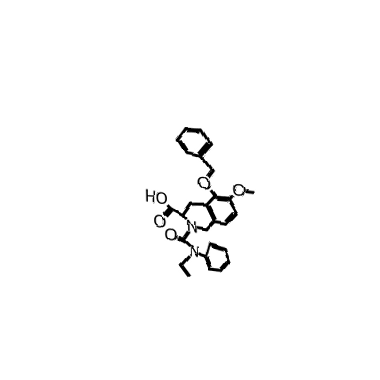 CCN(C(=O)N1Cc2ccc(OC)c(OCc3ccccc3)c2CC1C(=O)O)c1ccccc1